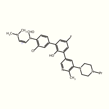 Cc1ncc(-c2cc(F)cc(-c3ccc(N(C=O)/C=C\N(C)C)c(Cl)c3)c2O)cc1N1CCN(C(C)C)CC1